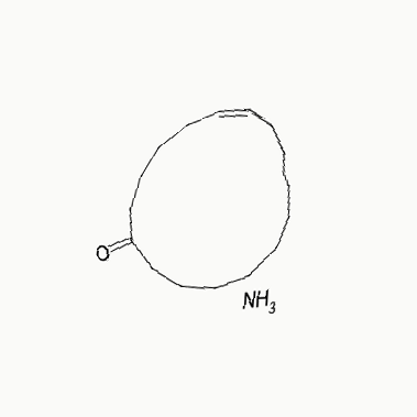 N.O=C1CCCCC=CCCCCCCCCC1